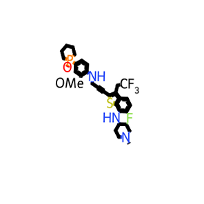 COc1cc(P2(=O)CCCCC2)ccc1NCC#Cc1sc2c(NC3CCN(C)CC3F)cccc2c1CC(F)(F)F